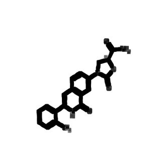 NC(=O)[C@@H]1CN(c2ccc3cc(-c4ccccc4C(F)(F)F)[nH]c(=O)c3c2)C(=O)O1